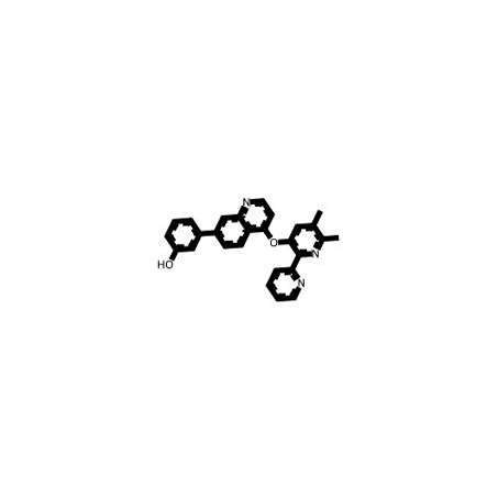 Cc1cc(Oc2ccnc3cc(-c4cccc(O)c4)ccc23)c(-c2ccccn2)nc1C